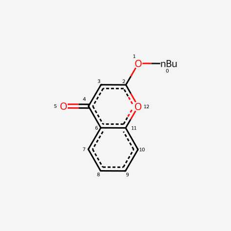 CCCCOc1cc(=O)c2ccccc2o1